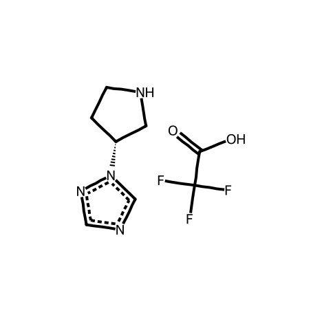 O=C(O)C(F)(F)F.c1ncn([C@@H]2CCNC2)n1